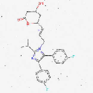 CC(C)c1nc(-c2ccc(F)cc2)c(-c2ccc(F)cc2)n1C/C=C/C1CC(O)CC(=O)O1